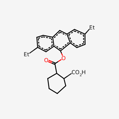 CCc1ccc2c(OC(=O)C3CCCCC3C(=O)O)c3cc(CC)ccc3cc2c1